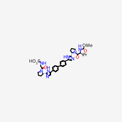 COC(=O)N[C@H](C(=O)N1CCC[C@H]1c1ncc(-c2ccc(-c3ccc(-c4cnc([C@@H]5CCCN5C(=O)CNC(=O)O)[nH]4)cc3)cc2)[nH]1)C(C)C